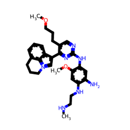 CNCCNc1cc(OC)c(Nc2ncc(CCCOC)c(-c3cn4c5c(cccc35)CCC4)n2)cc1N